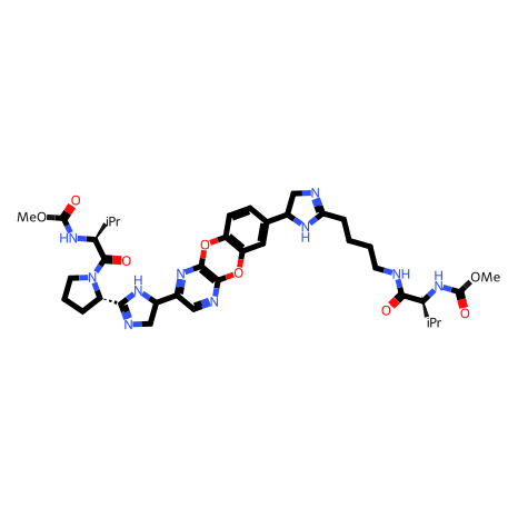 COC(=O)N[C@H](C(=O)NCCCCC1=NCC(c2ccc3c(c2)Oc2ncc(C4CN=C([C@@H]5CCCN5C(=O)[C@@H](NC(=O)OC)C(C)C)N4)nc2O3)N1)C(C)C